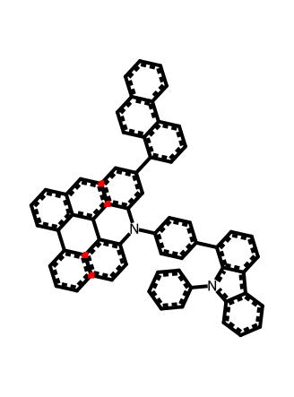 c1ccc(-c2cccc3cccc(-c4ccccc4N(c4ccc(-c5cccc6c7ccccc7n(-c7ccccc7)c56)cc4)c4cccc(-c5cccc6c5ccc5ccccc56)c4)c23)cc1